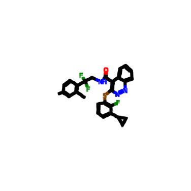 Cc1ccc(C(F)(F)CNC(=O)c2c(Sc3cccc(C4CC4)c3F)nnc3ccccc23)c(C)c1